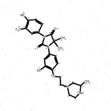 CCc1cc(N2C(=S)N(c3ccc(C#N)c(C(F)(F)F)c3)C(=O)C2(C)C)ccc1OCCN1CCNC(C)C1